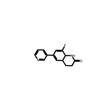 O=C1CCC2C=C(c3cccnc3)C=C(F)C2N1